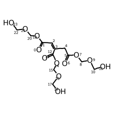 O=C(/C=C(/CC(=O)OCOCO)C(=O)OCOCO)OCOCO